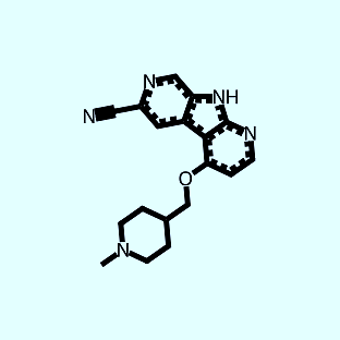 CN1CCC(COc2ccnc3[nH]c4cnc(C#N)cc4c23)CC1